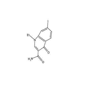 CCn1cc(C(N)=O)c(=O)c2ccc(I)cc21